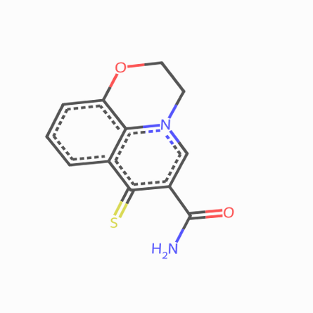 NC(=O)c1cn2c3c(cccc3c1=S)OCC2